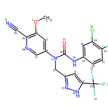 COc1cc(N(Cc2cc(C(F)(F)F)[nH]n2)C(=O)Nc2ccc(F)c(Cl)c2)cnc1C#N